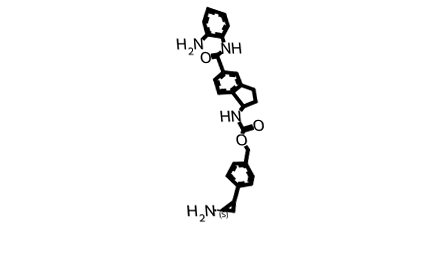 Nc1ccccc1NC(=O)c1ccc2c(c1)CCC2NC(=O)OCc1ccc(C2C[C@@H]2N)cc1